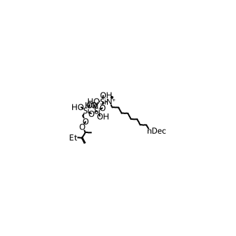 C=C(CC)C(C)OOC[Si](O)(O)O[Si](O)(O)O[Si](O)(O)[N+](=C)CCCCCCCCCCCCCCCCCC